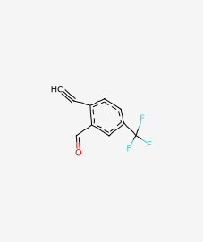 C#Cc1ccc(C(F)(F)F)cc1C=O